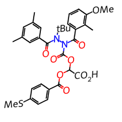 COc1cccc(C(=O)N(C(=O)OC(OC(=O)c2ccc(SC)cc2)C(=O)O)N(C(=O)c2cc(C)cc(C)c2)C(C)(C)C)c1C